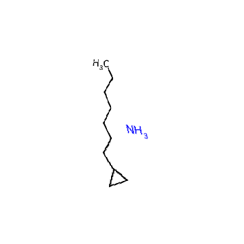 CCCCCCCC1CC1.N